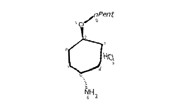 CCCCCO[C@H]1CC[C@H](N)CC1.Cl